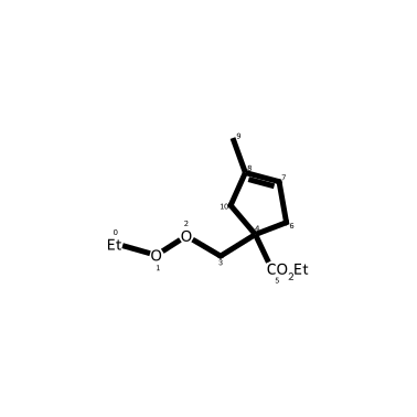 CCOOCC1(C(=O)OCC)CC=C(C)C1